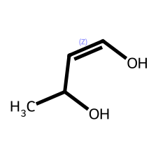 CC(O)/C=C\O